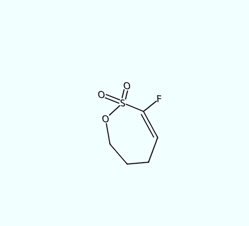 O=S1(=O)OCCCC=C1F